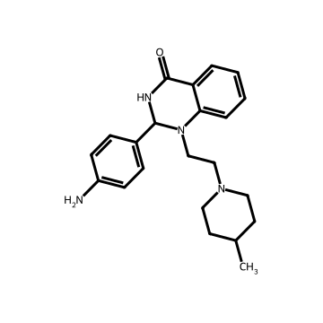 CC1CCN(CCN2c3ccccc3C(=O)NC2c2ccc(N)cc2)CC1